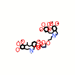 COc1ccc(CC(C)c2c(CCN(C)CCCOC(=O)/C=C\C(=O)OCCC[N+]3(C)CCc4cc(OC)c(OC)c(OC)c4C3Cc3cc(OC)c(OC)c(OC)c3)cc(OC)c(OC)c2OC)cc1OC